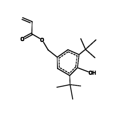 C=CC(=O)OCc1cc(C(C)(C)C)c(O)c(C(C)(C)C)c1